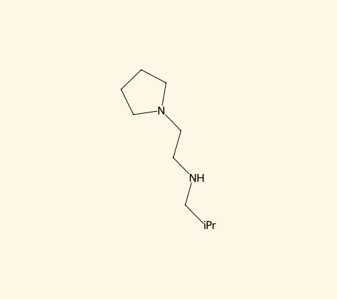 CC(C)CNCCN1CCCC1